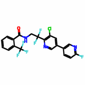 O=C(NCC(F)(F)c1ncc(-c2ccc(F)nc2)cc1Cl)c1ccccc1C(F)(F)F